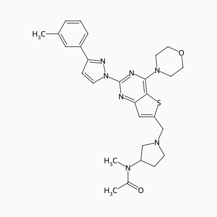 CC(=O)N(C)C1CCN(Cc2cc3nc(-n4ccc(-c5cccc(C)c5)n4)nc(N4CCOCC4)c3s2)C1